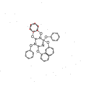 c1ccc(ON2P(Oc3ccccc3)N=P(Oc3ccccc3)(Oc3ccccc3)N(Oc3ccccc3)P2Oc2ccccc2)cc1